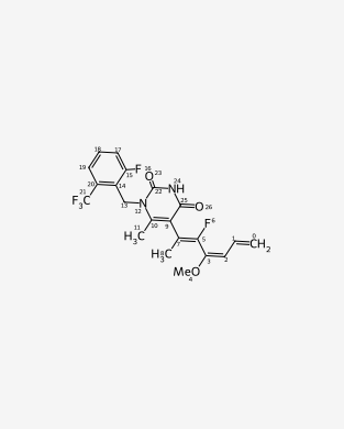 C=C/C=C(OC)\C(F)=C(/C)c1c(C)n(Cc2c(F)cccc2C(F)(F)F)c(=O)[nH]c1=O